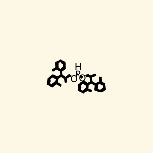 Cc1ccccc1C(c1ccccc1C)C(C)COPOCC(C)C(c1ccccc1C)c1ccccc1C